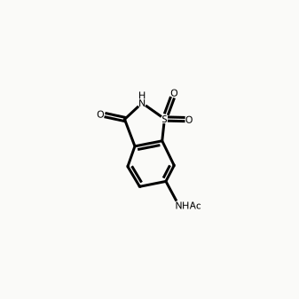 CC(=O)Nc1ccc2c(c1)S(=O)(=O)NC2=O